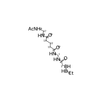 CCBBCC(=O)NCNC(=O)CCCC(=O)NCNC(C)=O